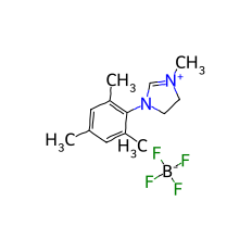 Cc1cc(C)c(N2C=[N+](C)CC2)c(C)c1.F[B-](F)(F)F